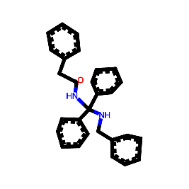 O=C(Cc1ccccc1)NC(NCc1ccccc1)(c1ccccc1)c1ccccc1